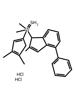 CC1=Cc2c(-c3ccccc3)cccc2[CH]1[Zr]([CH3])([CH3])(=[SiH2])[C]1=CC(C)=C(C)C1.Cl.Cl